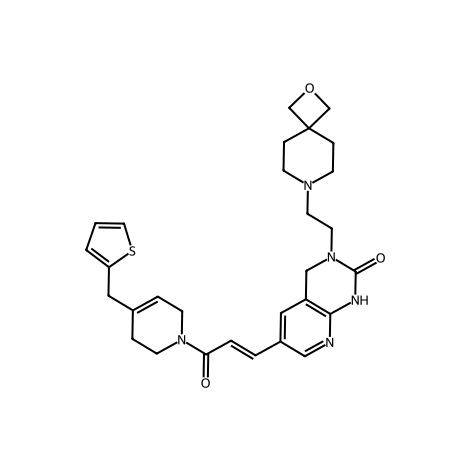 O=C(C=Cc1cnc2c(c1)CN(CCN1CCC3(CC1)COC3)C(=O)N2)N1CC=C(Cc2cccs2)CC1